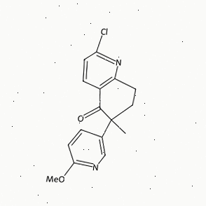 COc1ccc(C2(C)CCc3nc(Cl)ccc3C2=O)cn1